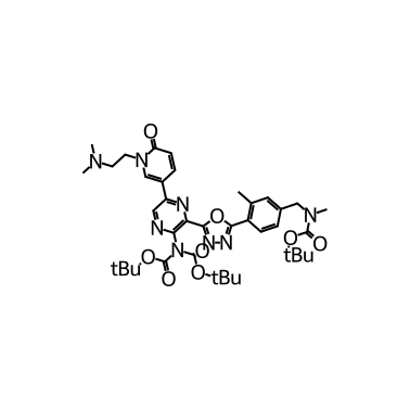 Cc1cc(CN(C)C(=O)OC(C)(C)C)ccc1-c1nnc(-c2nc(-c3ccc(=O)n(CCN(C)C)c3)cnc2N(C(=O)OC(C)(C)C)C(=O)OC(C)(C)C)o1